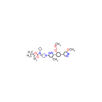 COCOc1cc(-c2cnnc(OC)c2)ccc1-c1nnc(N2CC[C@H](N(C(=O)OC(C)(C)C)C3CCC3)C2)cc1C